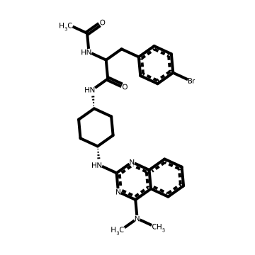 CC(=O)NC(Cc1ccc(Br)cc1)C(=O)N[C@H]1CC[C@@H](Nc2nc(N(C)C)c3ccccc3n2)CC1